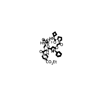 CCOC(=O)N1CCN(C(=O)[C@H](CCNS(=O)(=O)C(F)(F)F)NC(=O)c2cc(OCC(=O)N3CCC[C@H]3C(=O)NC3CCC3)n(-c3ccccc3)n2)CC1